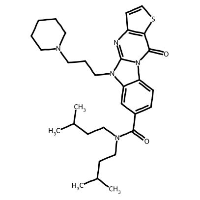 CC(C)CCN(CCC(C)C)C(=O)c1ccc2c(c1)n(CCCN1CCCCC1)c1nc3ccsc3c(=O)n21